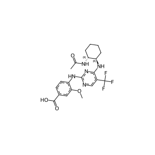 COc1cc(C(=O)O)ccc1Nc1ncc(C(F)(F)F)c(N[C@@H]2CCCC[C@H]2NC(C)=O)n1